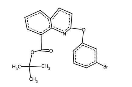 CC(C)(C)OC(=O)c1cccc2ccc(Oc3cccc(Br)c3)nc12